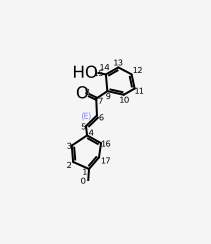 Cc1ccc(/C=C/C(=O)c2ccccc2O)cc1